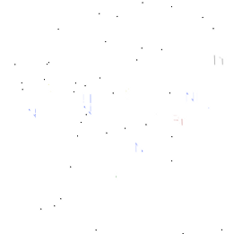 CC(C)C[C@H](N)Cc1sc2c(NCc3nccs3)cc(Cl)nc2c1Br